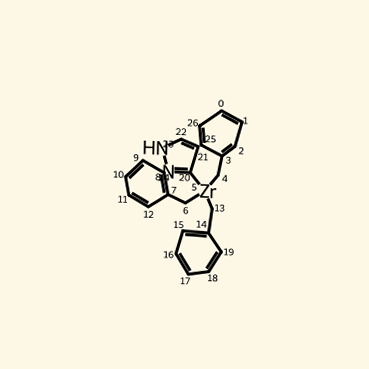 c1ccc([CH2][Zr]([CH2]c2ccccc2)([CH2]c2ccccc2)[c]2cc[nH]n2)cc1